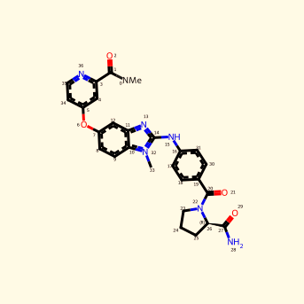 CNC(=O)c1cc(Oc2ccc3c(c2)nc(Nc2ccc(C(=O)N4CCC[C@@H]4C(N)=O)cc2)n3C)ccn1